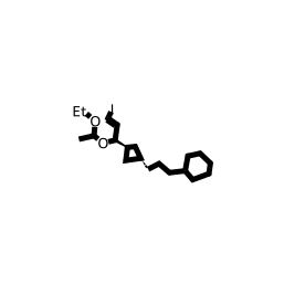 CCOC(C)OC(C=CI)[C@H]1C[C@H](CCCC2CCCCC2)C1